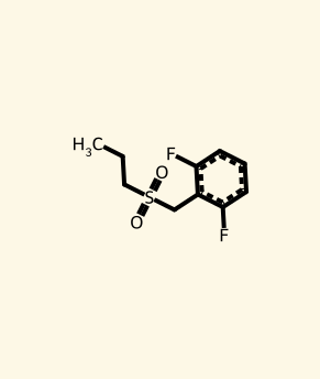 CCCS(=O)(=O)Cc1c(F)cccc1F